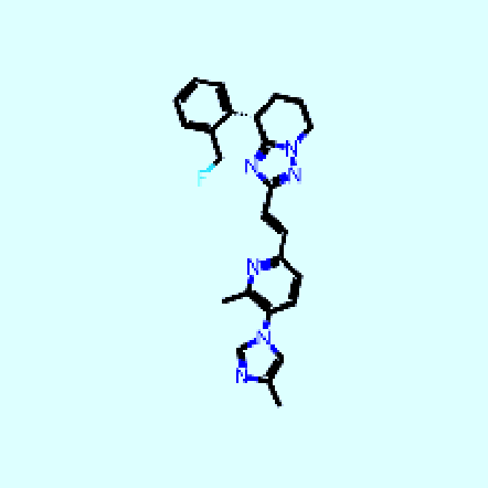 Cc1cn(-c2ccc(/C=C/c3nc4n(n3)CCC[C@H]4c3ccccc3CF)nc2C)cn1